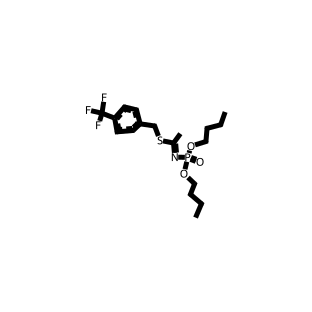 CCCCOP(=O)(/N=C(\C)SCc1ccc(C(F)(F)F)cc1)OCCCC